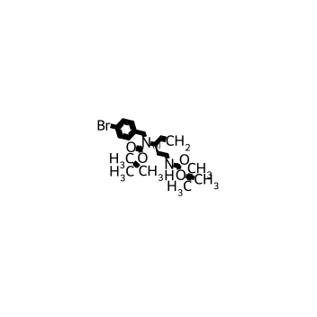 C=C[C@@H](CCNC(=O)OC(C)(C)C)N(Cc1ccc(Br)cc1)C(=O)OC(C)(C)C